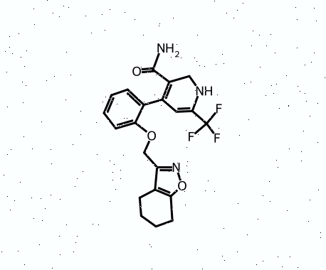 NC(=O)C1=C(c2ccccc2OCc2noc3c2CCCC3)C=C(C(F)(F)F)NC1